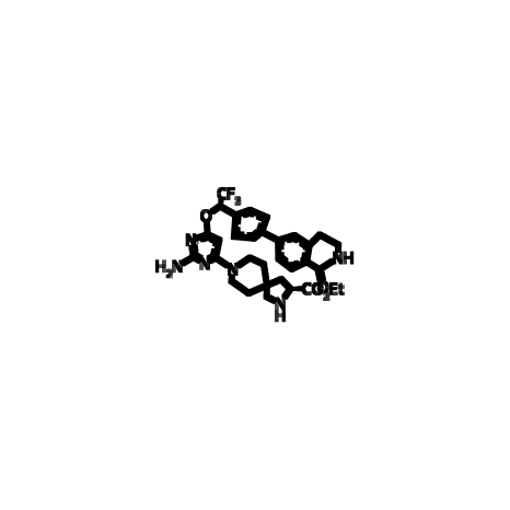 CCOC(=O)[C@@H]1CC2(CCN(c3cc(O[C@H](c4ccc(-c5ccc6c(c5)CCNC6=O)cc4)C(F)(F)F)nc(N)n3)CC2)CN1